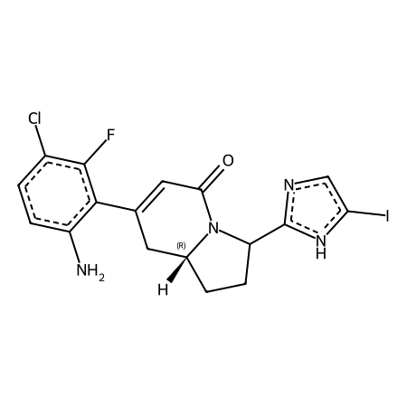 Nc1ccc(Cl)c(F)c1C1=CC(=O)N2C(c3ncc(I)[nH]3)CC[C@@H]2C1